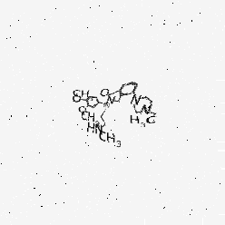 CCN1CCN(c2cccc3c2CN([C@H](CCCNC)c2ccc(OC)c(OC)c2)C3=O)CC1